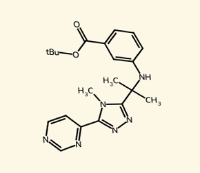 Cn1c(-c2ccncn2)nnc1C(C)(C)Nc1cccc(C(=O)OC(C)(C)C)c1